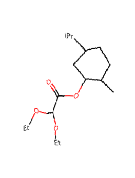 CCOC(OCC)C(=O)OC1CC(C(C)C)CCC1C